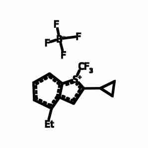 CCc1cccc2c1cc(C1CC1)[s+]2C(F)(F)F.F[B-](F)(F)F